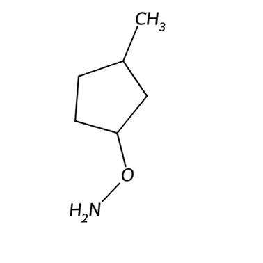 CC1CCC(ON)C1